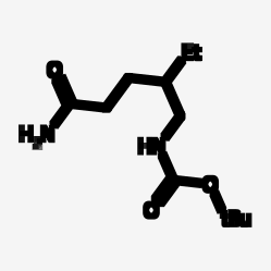 CCC(CCC(N)=O)CNC(=O)OC(C)(C)C